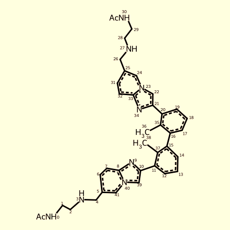 CC(=O)NCCNCc1ccc2nc(-c3cccc(-c4cccc(-c5cn6cc(CNCCNC(C)=O)ccc6n5)c4C)c3C)cn2c1